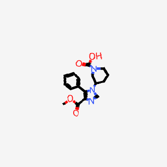 COC(=O)c1ncn(C2CCCN(C(=O)O)C2)c1-c1ccccc1